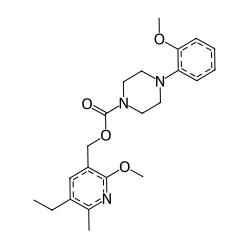 CCc1cc(COC(=O)N2CCN(c3ccccc3OC)CC2)c(OC)nc1C